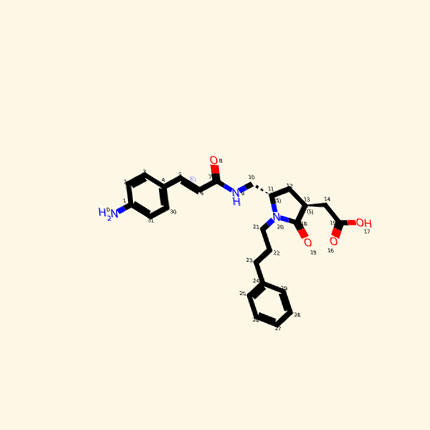 Nc1ccc(/C=C/C(=O)NC[C@@H]2C[C@@H](CC(=O)O)C(=O)N2CCCc2ccccc2)cc1